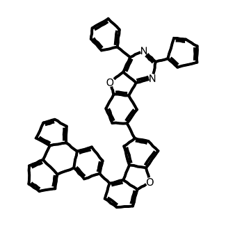 c1ccc(-c2nc(-c3ccccc3)c3oc4ccc(-c5ccc6oc7cccc(-c8ccc9c%10ccccc%10c%10ccccc%10c9c8)c7c6c5)cc4c3n2)cc1